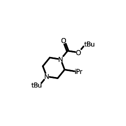 CC(C)C1CN(C(C)(C)C)CCN1C(=O)OC(C)(C)C